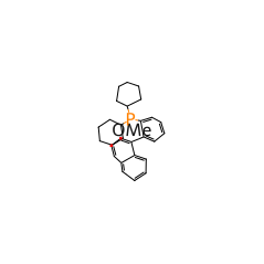 COc1ccc2ccccc2c1-c1ccccc1P(C1CCCCC1)C1CCCCC1